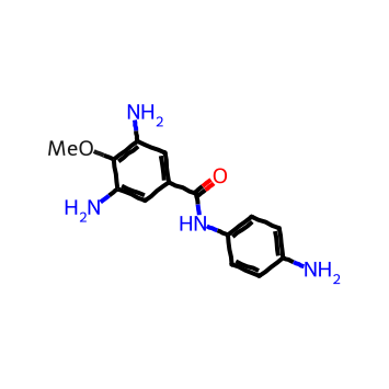 COc1c(N)cc(C(=O)Nc2ccc(N)cc2)cc1N